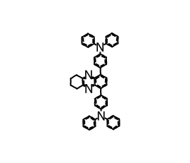 c1ccc(N(c2ccccc2)c2ccc(-c3ccc(-c4ccc(N(c5ccccc5)c5ccccc5)cc4)c4nc5c(nc34)CCCC5)cc2)cc1